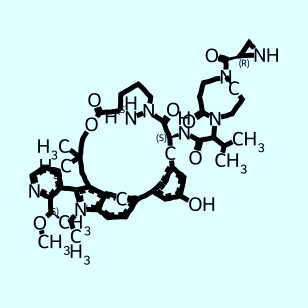 CCn1c(-c2cccnc2[C@H](C)OC)c2c3cc(ccc31)-c1cc(O)cc(c1)C[C@H](NC(=O)C(C(C)C)N1CCCN(C(=O)[C@H]3CN3)CCC1=O)C(=O)N1CCC[C@H](N1)C(=O)OCC(C)(C)C2